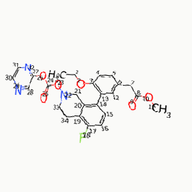 CCOc1ccc(CC(=O)OC)cc1-c1ccc(F)c2c1CN(OC(=O)Oc1cnccn1)CC2